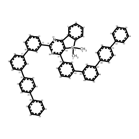 C[Si]1(C)c2ccccc2-c2nc(-c3cccc(-c4cccc(-c5ccc(-c6ccccc6)cc5)c4)c3)nc(-c3cccc(-c4cccc(-c5ccc(-c6ccccc6)cc5)c4)c3)c21